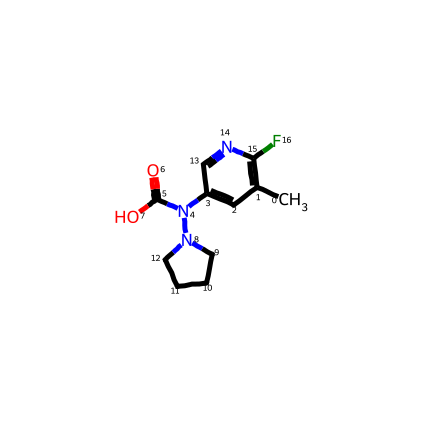 Cc1cc(N(C(=O)O)N2CCCC2)cnc1F